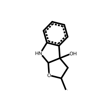 [CH2]C1CC2(O)c3ccccc3NC2O1